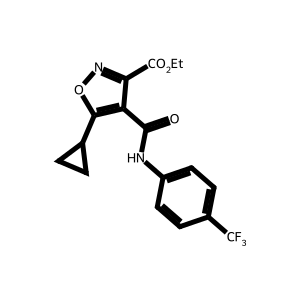 CCOC(=O)c1noc(C2CC2)c1C(=O)Nc1ccc(C(F)(F)F)cc1